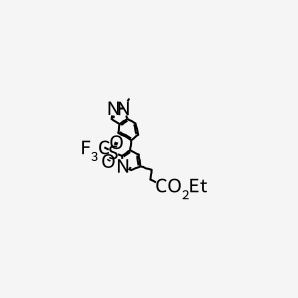 CCOC(=O)CCc1cnc(S(=O)(=O)C(F)(F)F)c(-c2ccc3c(cnn3C)c2)c1